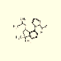 CC(C)CC1CC(C)(C)c2cccc(N3C=CC=CC3C(F)F)c21